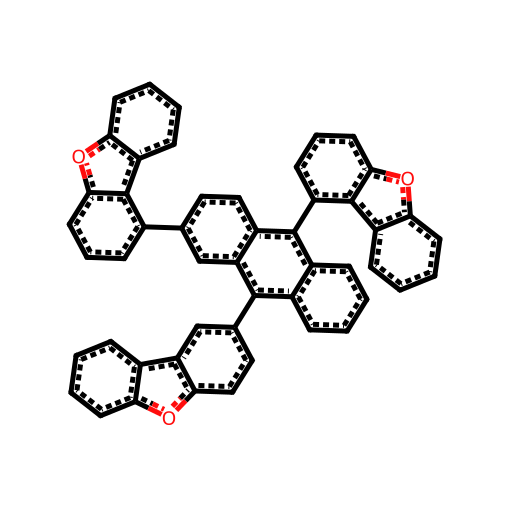 c1ccc2c(c1)oc1ccc(-c3c4ccccc4c(-c4cccc5oc6ccccc6c45)c4ccc(-c5cccc6oc7ccccc7c56)cc34)cc12